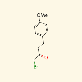 COc1ccc(CCC(=O)CBr)cc1